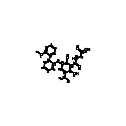 COc1ccccc1-c1ccccc1Cn1nc(C(C)C)c(O)c(C(=O)NCC(=O)O)c1=O